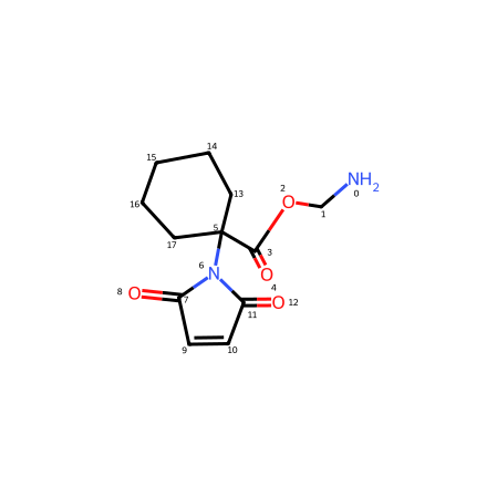 NCOC(=O)C1(N2C(=O)C=CC2=O)CCCCC1